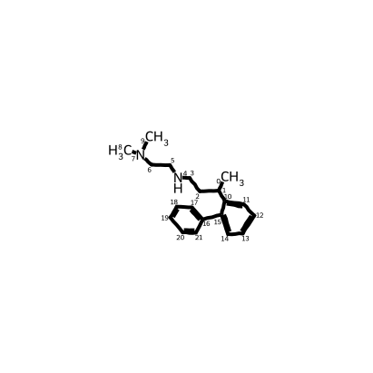 CC(CCNCCN(C)C)c1ccccc1-c1ccccc1